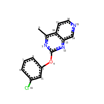 Cc1nc(Oc2cccc(Cl)c2)nc2cnccc12